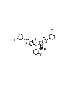 FBn1c(/C(=C2/C=c3oc(-c4cccc(F)c4)cc3=[N+]2F)c2cccc(F)c2)cc2oc(-c3cccc(F)c3)cc21